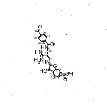 N=C(N)/C(=C\NC1OC(CO[PH](=O)O)C(O)C1O)CNC(=O)c1ccc(C=O)cc1